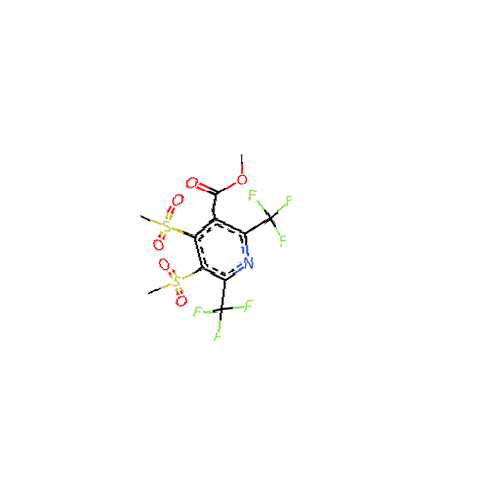 COC(=O)c1c(C(F)(F)F)nc(C(F)(F)F)c(S(C)(=O)=O)c1S(C)(=O)=O